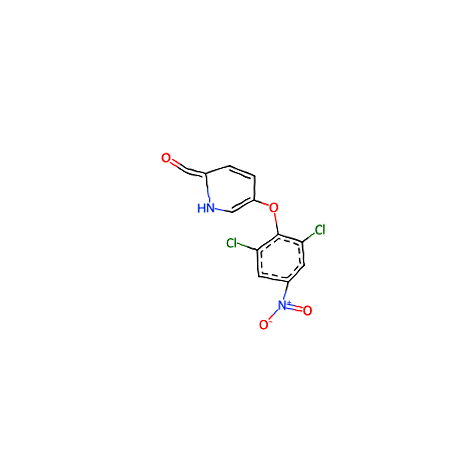 O=C=C1C=CC(Oc2c(Cl)cc([N+](=O)[O-])cc2Cl)=CN1